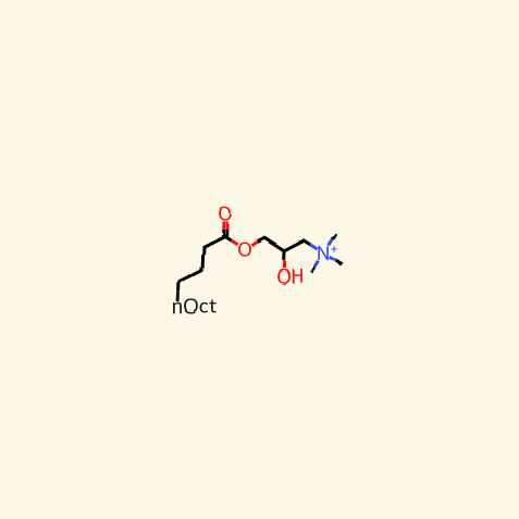 CCCCCCCCCCCC(=O)OCC(O)C[N+](C)(C)C